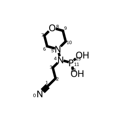 N#CCCN(N1CCOCC1)P(O)O